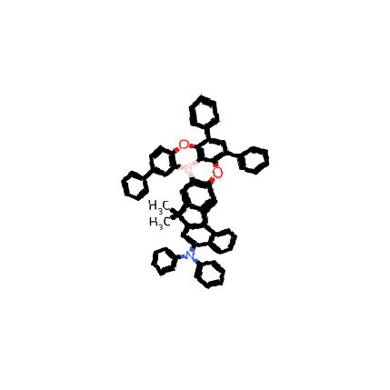 CC1(C)c2cc3c(cc2-c2c1cc(N(c1ccccc1)c1ccccc1)c1ccccc21)Oc1c(-c2ccccc2)cc(-c2ccccc2)c2c1B3c1cc(-c3ccccc3)ccc1O2